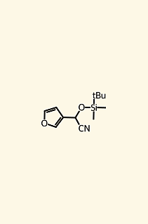 CC(C)(C)[Si](C)(C)OC(C#N)c1ccoc1